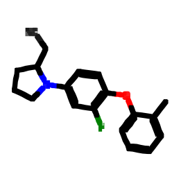 Cc1ccccc1Oc1ccc(N2CCCC2CC#N)cc1F